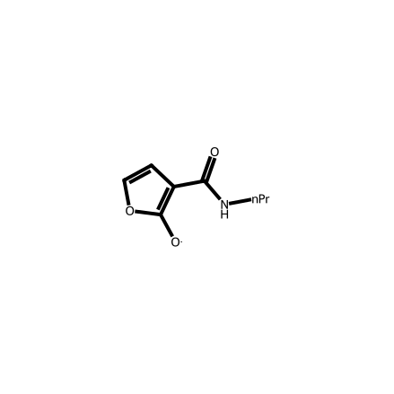 CCCNC(=O)c1ccoc1[O]